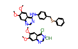 COc1cc2ncnc(Cl)c2cc1OC.COc1cc2ncnc(Nc3ccc(CSc4ccccc4)cc3)c2cc1OC.Cl